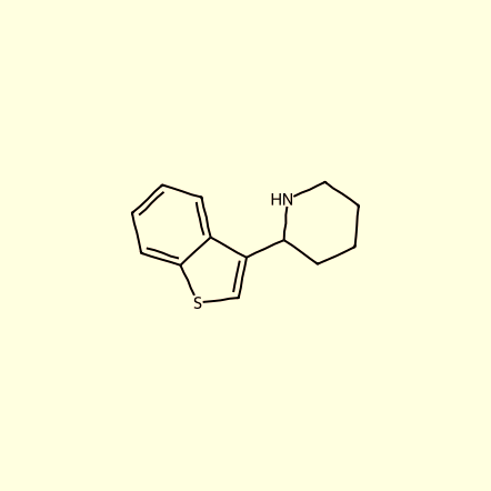 c1ccc2c(C3CCCCN3)csc2c1